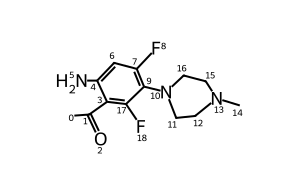 CC(=O)c1c(N)cc(F)c(N2CCN(C)CC2)c1F